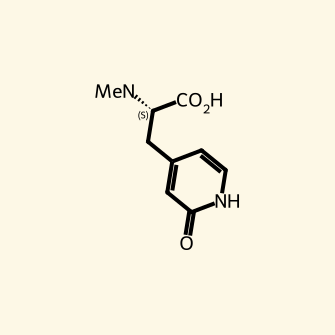 CN[C@@H](Cc1cc[nH]c(=O)c1)C(=O)O